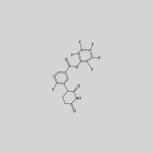 O=C1CCC(c2cc(C(=O)Oc3c(F)c(F)c(F)c(F)c3F)ccc2F)C(=O)N1